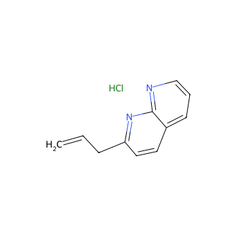 C=CCc1ccc2cccnc2n1.Cl